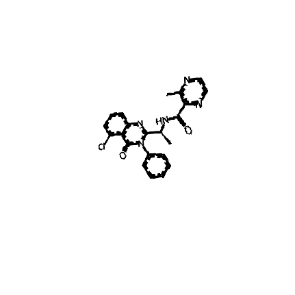 Cc1nccnc1C(=O)N[C@@H](C)c1nc2cccc(Cl)c2c(=O)n1-c1ccccc1